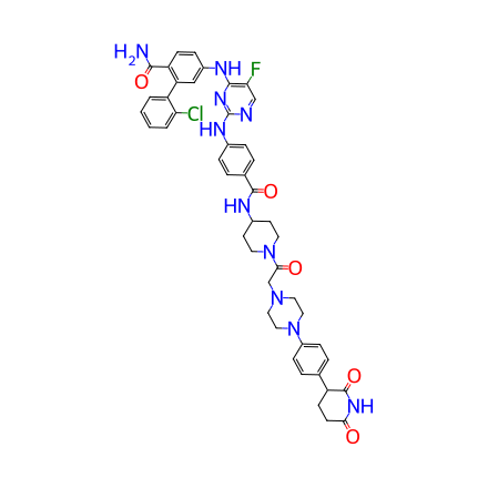 NC(=O)c1ccc(Nc2nc(Nc3ccc(C(=O)NC4CCN(C(=O)CN5CCN(c6ccc(C7CCC(=O)NC7=O)cc6)CC5)CC4)cc3)ncc2F)cc1-c1ccccc1Cl